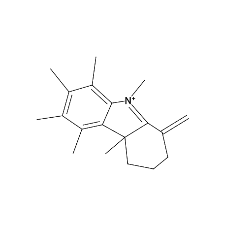 C=C1CCCC2(C)C1=[N+](C)c1c(C)c(C)c(C)c(C)c12